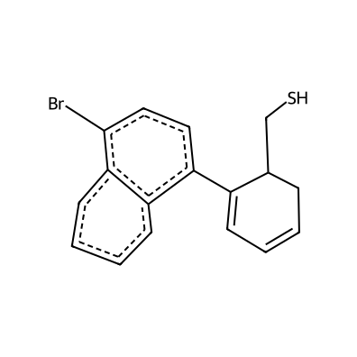 SCC1CC=CC=C1c1ccc(Br)c2ccccc12